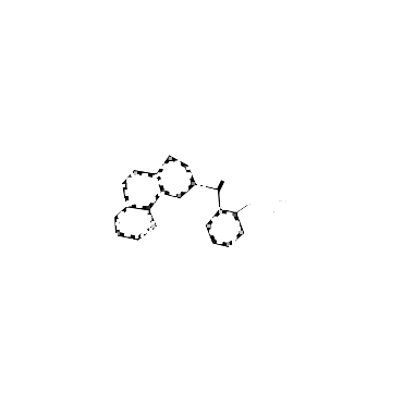 O=C(O)c1ccccc1C(=O)c1ccc2ccc3ccccc3c2c1